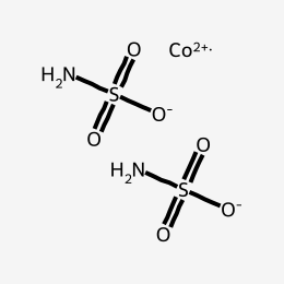 NS(=O)(=O)[O-].NS(=O)(=O)[O-].[Co+2]